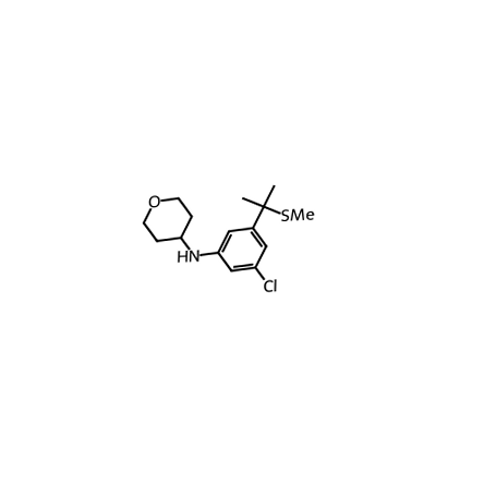 CSC(C)(C)c1cc(Cl)cc(NC2CCOCC2)c1